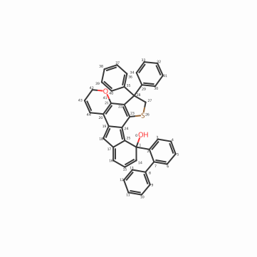 OC1(c2ccccc2-c2ccccc2)C=CC=C2C=c3c4c(c5c(c3=C21)SCC5(c1ccccc1)c1ccccc1)OCC=C4